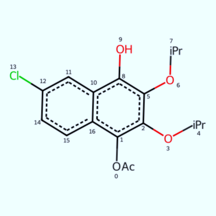 CC(=O)Oc1c(OC(C)C)c(OC(C)C)c(O)c2cc(Cl)ccc12